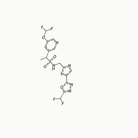 CC(c1cncc(OC(F)F)c1)S(=O)(=O)NCc1ncc(-c2nnc(C(F)F)o2)s1